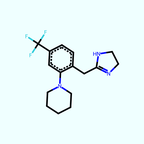 FC(F)(F)c1ccc(CC2=NCCN2)c(N2CCCCC2)c1